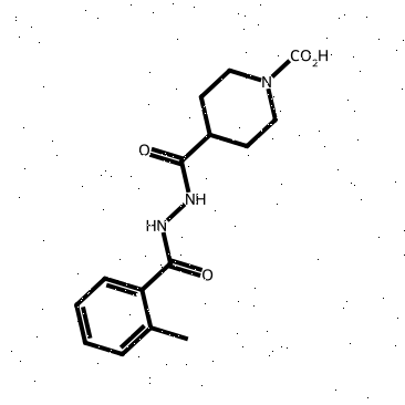 Cc1ccccc1C(=O)NNC(=O)C1CCN(C(=O)O)CC1